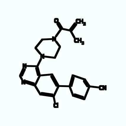 C=C(C)C(=O)N1CCN(c2ncnc3cc(Cl)c(-c4ccc(C#N)cc4)cc23)CC1